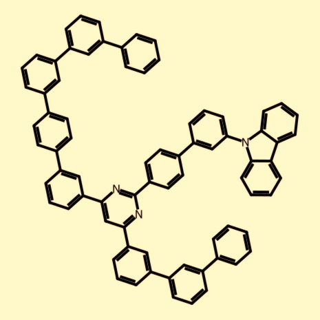 c1ccc(-c2cccc(-c3cccc(-c4ccc(-c5cccc(-c6cc(-c7cccc(-c8cccc(-c9ccccc9)c8)c7)nc(-c7ccc(-c8cccc(-n9c%10ccccc%10c%10ccccc%109)c8)cc7)n6)c5)cc4)c3)c2)cc1